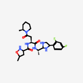 CC1CC(C(=O)N[C@@H](CC(=O)N2CCCC[C@@H]2C)C(=O)N[C@@H](C)C2NCC(c3ccc(F)cc3F)N2)NO1